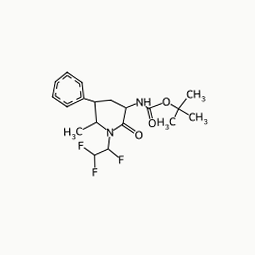 CC1C(c2ccccc2)CC(NC(=O)OC(C)(C)C)C(=O)N1C(F)C(F)F